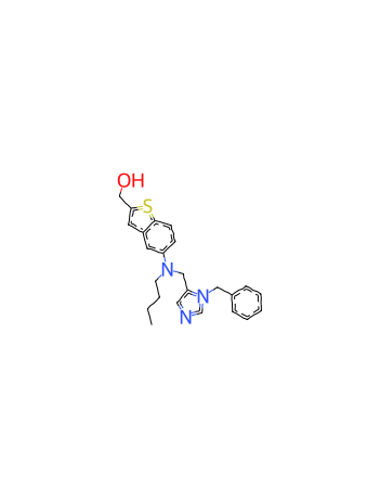 CCCCN(Cc1cncn1Cc1ccccc1)c1ccc2sc(CO)cc2c1